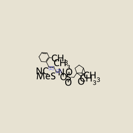 CSC(=N\OS(=O)(=O)CC12CCC(CC1=O)C2(C)C)/C(C)=C(\C#N)C1=C(C)C=CCC1